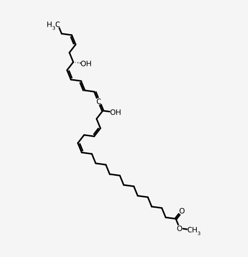 CC/C=C\C[C@H](O)/C=C\C=C\C=C=C(O)C/C=C\C/C=C\CCCCCCCCCCCCC(=O)OC